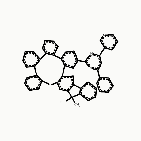 CC1(C)c2ccccc2-c2cc3c(cc21)Sc1ccccc1-c1ccccc1-c1ccccc1-c1ccc(-c2nc(-c4ccccc4)cc(-c4cccnc4)n2)cc1-3